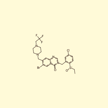 CC[S+]([O-])c1ccc(Cl)cc1Cn1cnc2cc(CN3CCN(CC(F)(F)F)CC3)c(Br)cc2c1=O